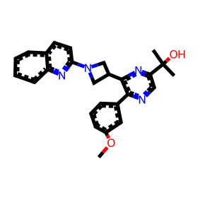 COc1cccc(-c2ncc(C(C)(C)O)nc2C2CN(c3ccc4ccccc4n3)C2)c1